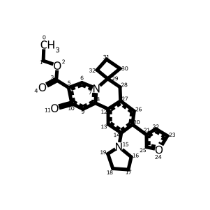 CCOC(=O)c1cn2c(cc1=O)-c1cc(N3CCCC3)c(-c3ccoc3)cc1CC21CCC1